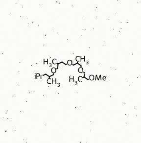 COCC(C)COCC(C)COCCC(C)COCC(C)CC(C)C